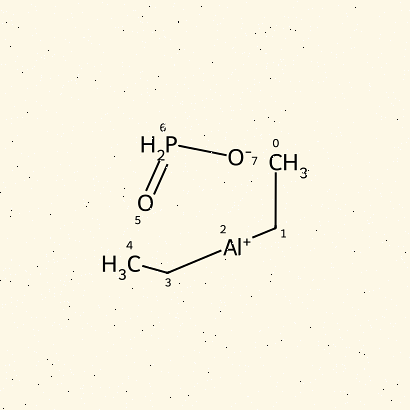 C[CH2][Al+][CH2]C.O=[PH2][O-]